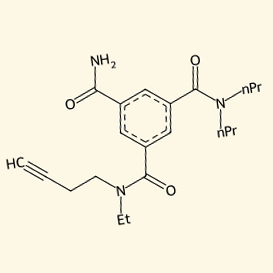 C#CCCN(CC)C(=O)c1cc(C(N)=O)cc(C(=O)N(CCC)CCC)c1